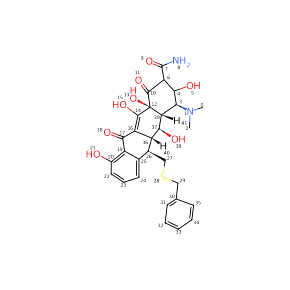 CN(C)[C@@H]1C(O)C(C(N)=O)C(=O)[C@@]2(O)C(O)=C3C(=O)c4c(O)cccc4[C@H](CSCc4ccccc4)[C@H]3[C@H](O)[C@@H]12